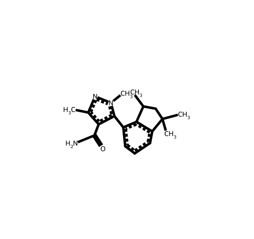 Cc1nn(C)c(-c2cccc3c2C(C)CC3(C)C)c1C(N)=O